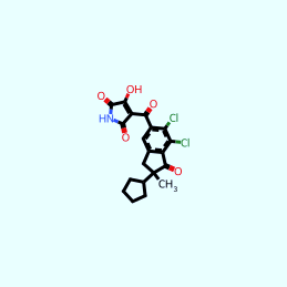 CC1(C2CCCC2)Cc2cc(C(=O)C3=C(O)C(=O)NC3=O)c(Cl)c(Cl)c2C1=O